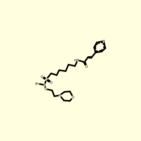 CC(C)N(OCCN1CCOCC1)S(=O)(=O)CCCCCCNC(=O)/C=C/c1ccncc1